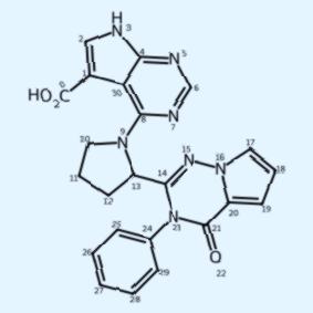 O=C(O)c1c[nH]c2ncnc(N3CCCC3c3nn4cccc4c(=O)n3-c3ccccc3)c12